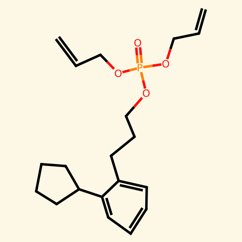 C=CCOP(=O)(OCC=C)OCCCc1ccccc1C1CCCC1